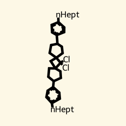 CCCCCCCc1ccc(C2CCC3(CC2)CC2(CCC(c4ccc(CCCCCCC)cc4)CC2)C3(Cl)Cl)cc1